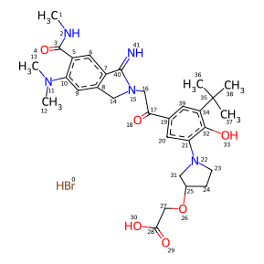 Br.CNC(=O)c1cc2c(cc1N(C)C)CN(CC(=O)c1cc(N3CCC(OCC(=O)O)C3)c(O)c(C(C)(C)C)c1)C2=N